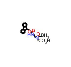 BCC(=O)N(CCNC(=O)OCC1c2ccccc2-c2ccccc21)CC(=O)O